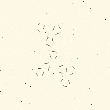 c1ccc(-n2c3ccccc3c3cc(-c4ccc5c(c4)c4cc6ccccc6cc4n5-c4cc5cccc6c5c(n4)-c4ccccc4-6)ccc32)cc1